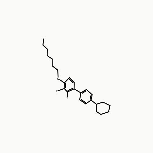 CCCCCCCOc1ccc(-c2ccc(C3CC[CH]CC3)cc2)c(F)c1F